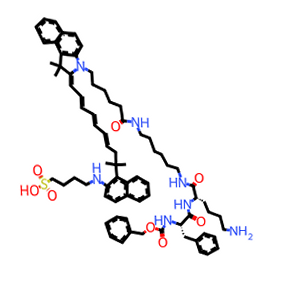 CC(C)(C/C=C/C=C/C=C/C=C1\N(CCCCCC(=O)NCCCCCCNC(=O)[C@H](CCCCN)NC(=O)[C@H](Cc2ccccc2)NC(=O)OCc2ccccc2)c2ccc3ccccc3c2C1(C)C)c1c(NCCCCS(=O)(=O)O)ccc2ccccc12